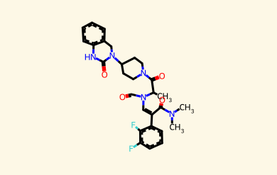 CC(C(=O)N1CCC(N2Cc3ccccc3NC2=O)CC1)N(C=O)/C=C(\C(=O)N(C)C)c1cccc(F)c1F